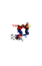 CN(CCOC(=O)N1C/C=C/CNc2ncnc3c2ccn3[C@@H]2O[C@H](CO[P@@](=O)(S)O[C@H]3[C@@H](F)[C@@H](O[C@@H]3CO)n3cnc4c1ncnc43)[C@@H](O[PH](=O)S)[C@H]2F)C(=O)OC(C)(C)C